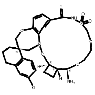 N[C@@H]1CCCCCS(=O)(=O)NC(=O)c2ccc3c(c2)N(C[C@@H]2CC[C@H]21)C[C@@]1(CCCc2cc(Cl)ccc21)CO3